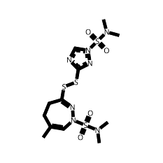 CC1=CN(S(=O)(=O)N(C)C)N=C(SSc2ncn(S(=O)(=O)N(C)C)n2)CC1